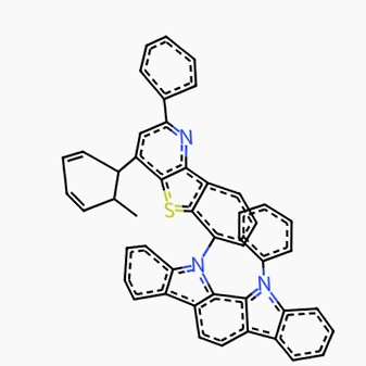 CC1C=CC=CC1c1cc(-c2ccccc2)nc2c1sc1c(-n3c4ccccc4c4ccc5c6ccccc6n(-c6ccccc6)c5c43)cccc12